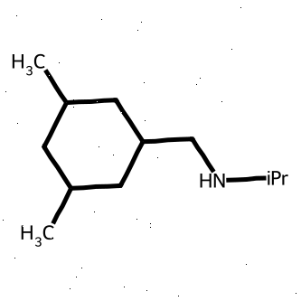 CC1CC(C)CC(CNC(C)C)C1